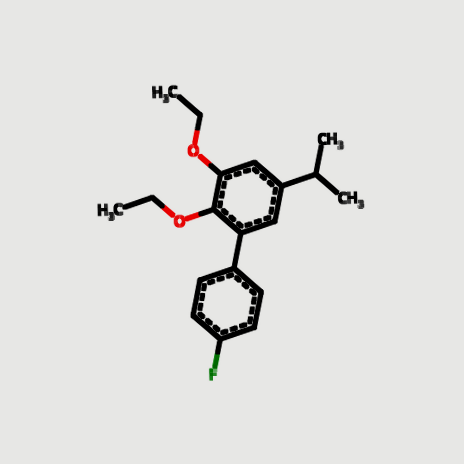 CCOc1cc(C(C)C)cc(-c2ccc(F)cc2)c1OCC